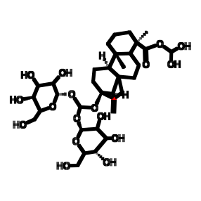 C=C1CC23CCC4[C@](C)(C(=O)OC(O)O)CCC[C@@]4(C)[C@@H]2CC[C@]1(OC(O[C@@H]1OC(CO)[C@@H](O)C(O)C1O)O[C@@H]1OC(CO)[C@@H](O)C(O)C1O)[C@@H]3C